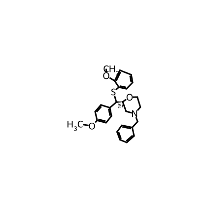 COc1ccc(C(Sc2ccccc2OC)[C@@H]2CN(Cc3ccccc3)CCO2)cc1